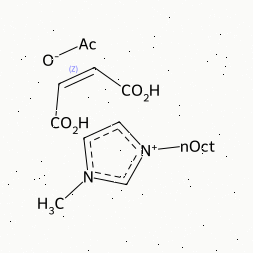 CC(=O)[O-].CCCCCCCC[n+]1ccn(C)c1.O=C(O)/C=C\C(=O)O